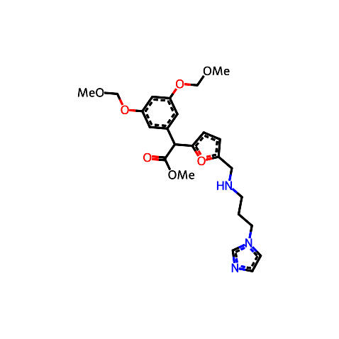 COCOc1cc(OCOC)cc(C(C(=O)OC)c2ccc(CNCCCn3ccnc3)o2)c1